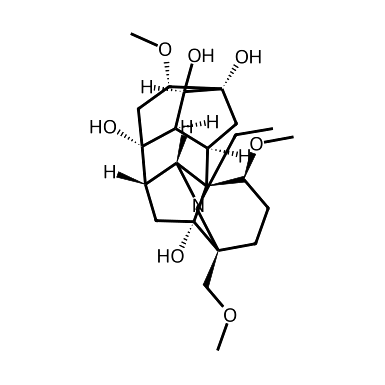 CCN1C[C@]2(COC)CC[C@H](OC)[C@@]34[C@@H]5C[C@]6(O)[C@@H](OC)C[C@@](O)([C@H]5[C@H]6O)[C@@H](C[C@]23O)[C@@H]14